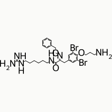 N=C(N)NCCCCCCNC(=O)C(Cc1cc(Br)c(OCCCN)c(Br)c1)=NOCc1ccccc1